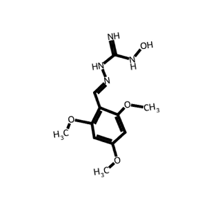 COc1cc(OC)c(C=NNC(=N)NO)c(OC)c1